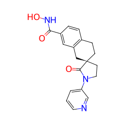 O=C(NO)c1ccc2c(c1)C[C@@]1(CC2)CCN(c2cccnc2)C1=O